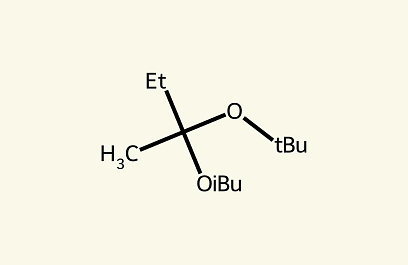 [CH2]CC(C)(OCC(C)C)OC(C)(C)C